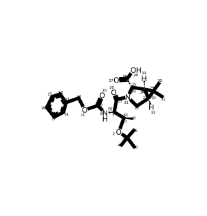 C[C@@H](OC(C)(C)C)[C@H](NC(=O)OCc1ccccc1)C(=O)N1C[C@H]2[C@@H]([C@H]1C(=O)O)C2(C)C